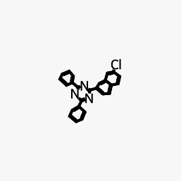 Clc1ccc2ccc(-c3nc(-c4ccccc4)nc(-c4ccccc4)n3)cc2c1